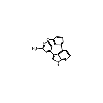 Nc1nccc(-c2c[nH]c3nccc(-c4cccc(Cl)c4)c23)n1